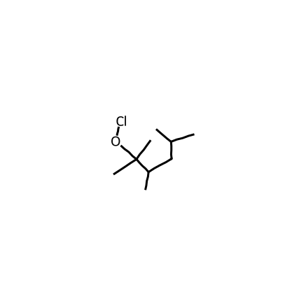 CC(C)CC(C)C(C)(C)OCl